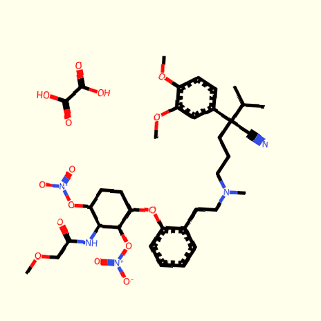 COCC(=O)NC1C(O[N+](=O)[O-])CCC(Oc2ccccc2CCN(C)CCCC(C#N)(c2ccc(OC)c(OC)c2)C(C)C)C1O[N+](=O)[O-].O=C(O)C(=O)O